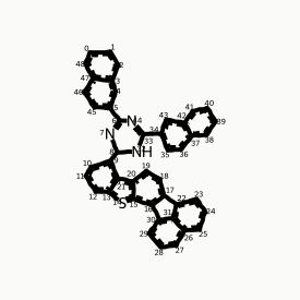 c1ccc2cc(C3=NC(c4cccc5sc6c7c(ccc6c45)-c4cccc5cccc-7c45)NC(c4ccc5ccccc5c4)=N3)ccc2c1